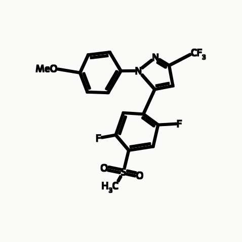 COc1ccc(-n2nc(C(F)(F)F)cc2-c2cc(F)c(S(C)(=O)=O)cc2F)cc1